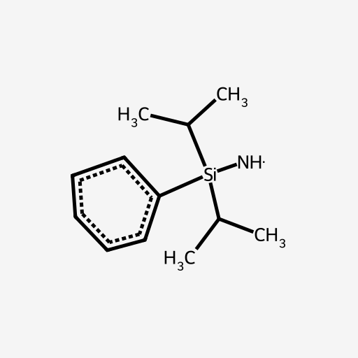 CC(C)[Si]([NH])(c1ccccc1)C(C)C